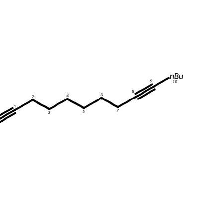 C#CCCCC[CH]CC#CCCCC